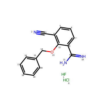 Cl.F.N#Cc1cccc(C(=N)N)c1OCc1ccccc1